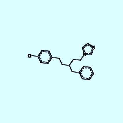 Clc1ccc(CCC(CCn2ccnc2)Cc2ccccc2)cc1